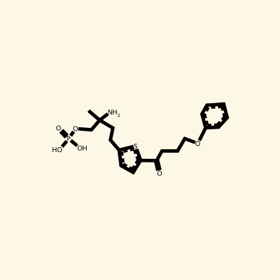 CC(N)(CCc1ccc(C(=O)CCCOc2ccccc2)s1)COP(=O)(O)O